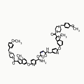 COc1ccc(CN2CCN(C(=O)c3cc4cc(Oc5ccc(CNC(=O)/C=C\C(=O)OC(N)c6ccc(Oc7ccc8c(c7)cc(C(=O)N7CCN(Cc9ccc(OC)cc9)CC7)n8C)nc6)cn5)ccc4n3C)CC2)cc1